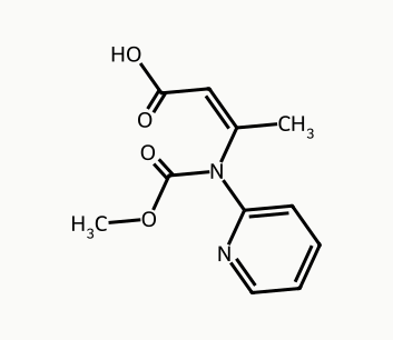 COC(=O)N(/C(C)=C\C(=O)O)c1ccccn1